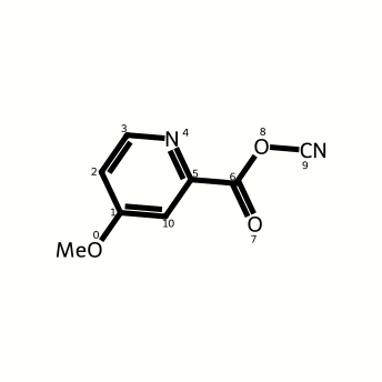 COc1ccnc(C(=O)OC#N)c1